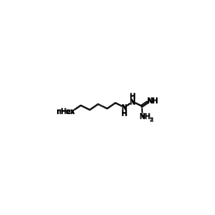 CCCCCCCCCCCNNC(=N)N